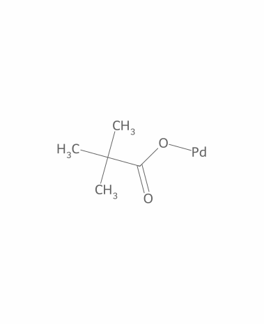 CC(C)(C)C(=O)[O][Pd]